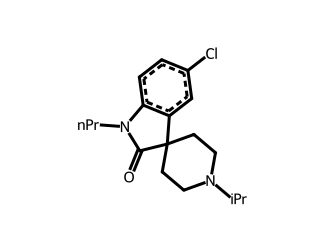 CCCN1C(=O)C2(CCN(C(C)C)CC2)c2cc(Cl)ccc21